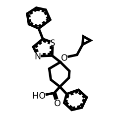 O=C(O)C1(c2ccccc2)CCC(OCC2CC2)(c2ncc(-c3ccccc3)s2)CC1